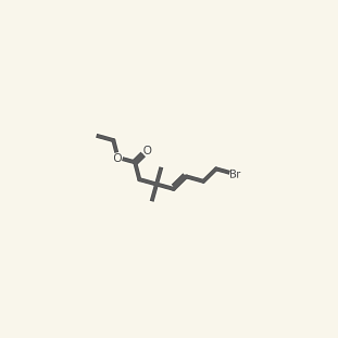 CCOC(=O)CC(C)(C)C=CCCBr